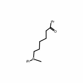 CC(C)C(=O)CCCCCN(C)C(C)C